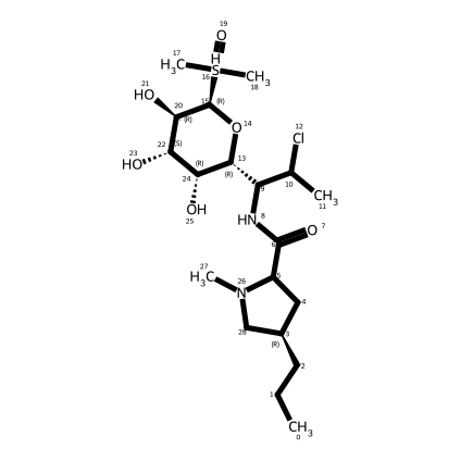 CCC[C@@H]1CC(C(=O)NC(C(C)Cl)[C@H]2O[C@H]([SH](C)(C)=O)[C@H](O)[C@@H](O)[C@H]2O)N(C)C1